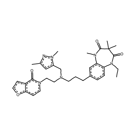 CCN1C(=O)C(C)(C)C(=O)N(C)c2cc(CCCN(CCn3ccc4occc4c3=O)Cc3cc(C)nn3C)ccc21